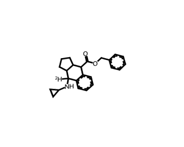 [2H]C1(NC2CC2)c2ccccc2C(C(=O)OCc2ccccc2)C2CCCC21